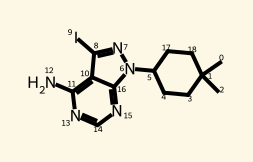 CC1(C)CCC(n2nc(I)c3c(N)ncnc32)CC1